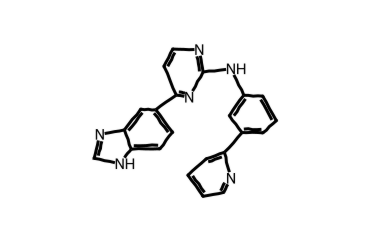 c1ccc(-c2cccc(Nc3nccc(-c4ccc5[nH]cnc5c4)n3)c2)nc1